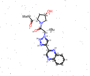 CNC(=O)[C@@H]1C[C@@H](O)CN1C(=O)[C@@H](n1cc(-c2cnc3ccccc3n2)nn1)C(C)(C)C